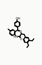 CCc1ccc(CC2N=C(c3ccc(O)cc3)c3cc(C)ccc3NC2=O)cc1CC